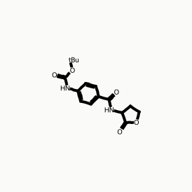 CC(C)(C)OC(=O)Nc1ccc(C(=O)NC2CCOC2=O)cc1